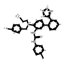 Cc1ccc(NC(=O)Nc2cc(-c3ccccc3-c3nnn[nH]3)ccc2N(CCC(F)(F)F)Cc2ccc(F)cc2)cc1